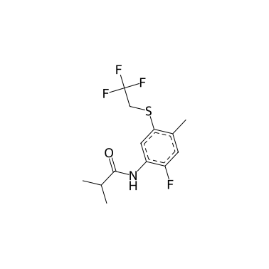 Cc1cc(F)c(NC(=O)C(C)C)cc1SCC(F)(F)F